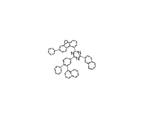 c1ccc(-c2ccc3c(c2)oc2cccc(-c4nc(-c5ccc(-c6ccccc6)c(-c6cccc7ccccc67)c5)nc(-c5ccc6ccccc6c5)n4)c23)cc1